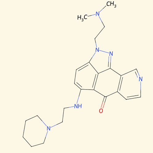 CN(C)CCn1nc2c3c(c(NCCN4CCCCC4)ccc31)C(=O)c1ccncc1-2